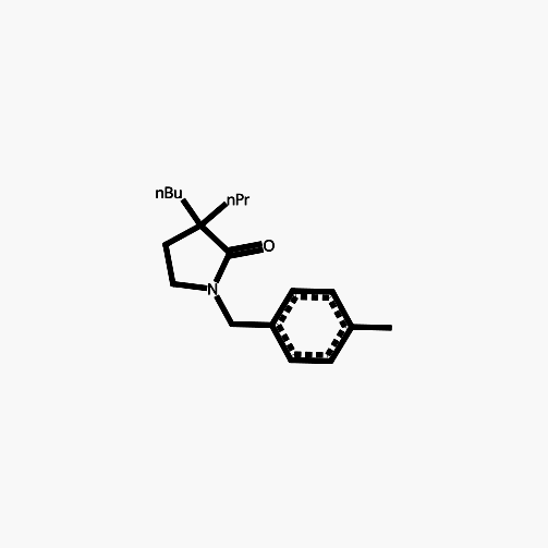 CCCCC1(CCC)CCN(Cc2ccc(C)cc2)C1=O